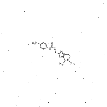 CC1c2cc(COC(=O)Oc3ccc([N+](=O)[O-])cc3)nn2CCN1C